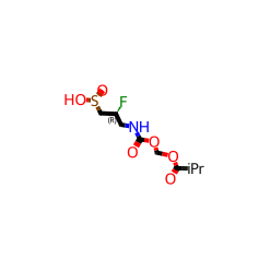 CC(C)C(=O)OCOC(=O)NC[C@@H](F)CS(=O)O